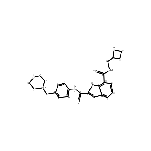 O=C(Nc1ccc(CN2CCOCC2)cc1)c1nc2cccc(C(=O)NCC3CCO3)c2o1